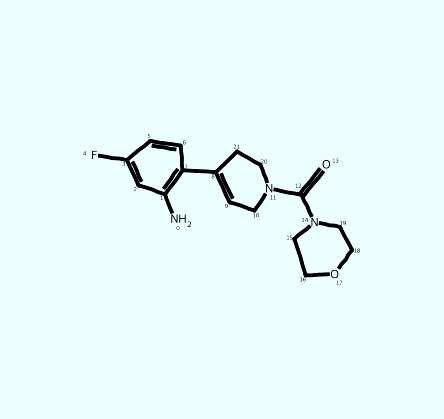 Nc1cc(F)ccc1C1=CCN(C(=O)N2CCOCC2)CC1